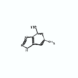 Cc1cc2[nH]nnc2c(O)n1